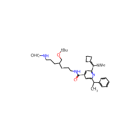 CNC(=C1CCC1)c1cc(C(=O)NCCCC(CCCNC=O)COC(C)(C)C)cc(C(C)c2ccccc2)n1